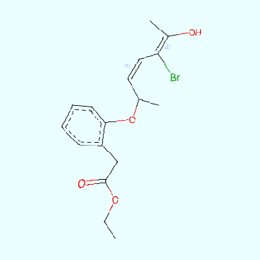 CCOC(=O)Cc1ccccc1OC(C)/C=C\C(Br)=C(/C)O